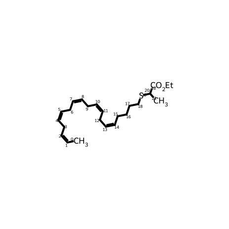 C/C=C\C/C=C\C/C=C\C/C=C\C/C=C\CCCCSC(C)C(=O)OCC